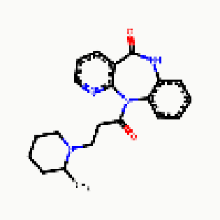 CC1CCCCN1CCC(=O)N1c2ccccc2NC(=O)c2cccnc21